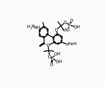 C=C(C)c1ccc(C)cc1-c1c(OC(C)(C)OP(=O)(O)O)cc(CCCCC)cc1OC(C)(C)OP(=O)(O)O.N.N